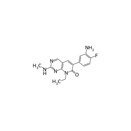 CCn1c(=O)c(-c2ccc(F)c(N)c2)cc2cnc(NC)nc21